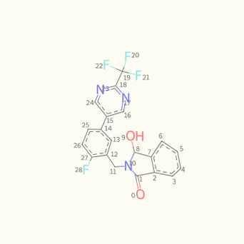 O=C1c2ccccc2C(O)N1Cc1cc(-c2cnc(C(F)(F)F)nc2)ccc1F